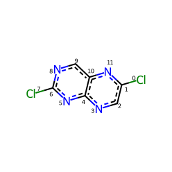 Clc1cnc2nc(Cl)ncc2n1